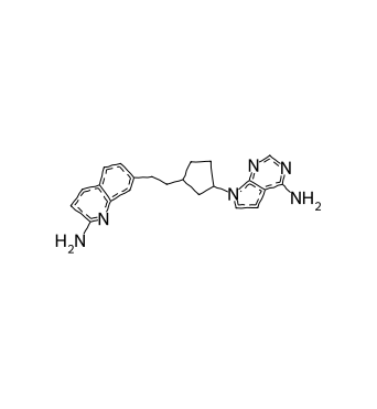 Nc1ccc2ccc(CCC3CCC(n4ccc5c(N)ncnc54)C3)cc2n1